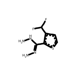 N/N=C(\NN)c1sccc1C(F)F